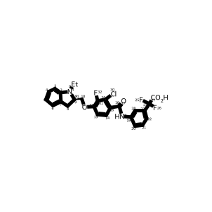 CCN1c2ccccc2C[C@@H]1COc1ccc(C(=O)Nc2cccc(C(F)(F)C(=O)O)c2)c(Cl)c1F